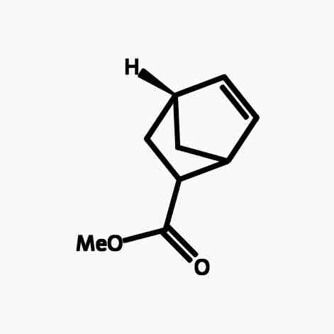 COC(=O)C1C[C@@H]2C=CC1C2